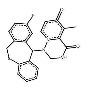 Cc1c2n(ccc1=O)N(C1c3cc(F)ccc3CSc3ccccc31)CNC2=O